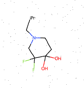 C[C](C)CN1CCC(O)(O)C(F)(F)C1